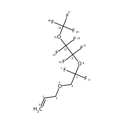 C=CCOCC(F)(F)OC(F)(F)C(F)(F)OC(F)(F)F